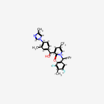 CCCC(c1cc(F)c(C)c(F)c1)n1cc(C(F)(F)F)cc(C(O)c2ccc(-n3cnc(C)c3)c(C)c2)c1=O